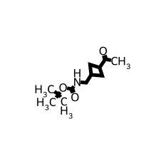 CC(=O)C1CC(CNC(=O)OC(C)(C)C)C1